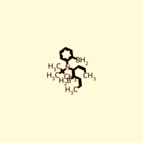 BC(/C=C\C)=C(/C=C\C)N(c1ccccc1B)C(C)(C)C